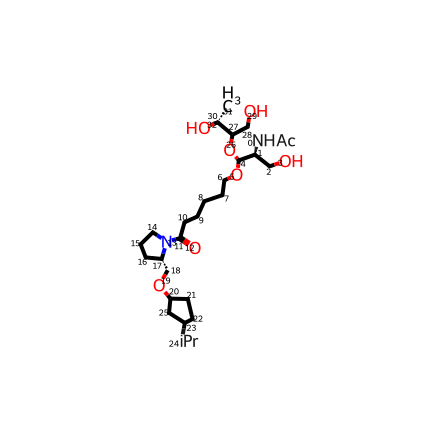 CC(=O)N[C@@H](CO)C(OCCCCCC(=O)N1CCC[C@H]1COC1CCC(C(C)C)C1)OC(CO)[C@@H](C)O